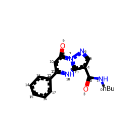 CCCCNC(=O)c1cnn2c(=O)cc(-c3ccccc3)[nH]c12